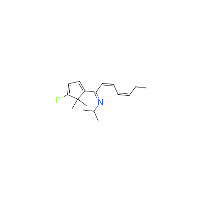 CC\C=C/C=C\C(=N\C(C)C)C1=CC=C(F)C1(C)C